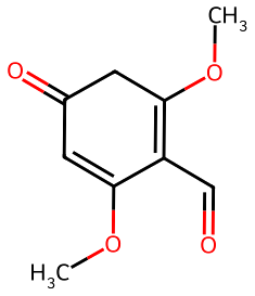 COC1=CC(=O)CC(OC)=C1C=O